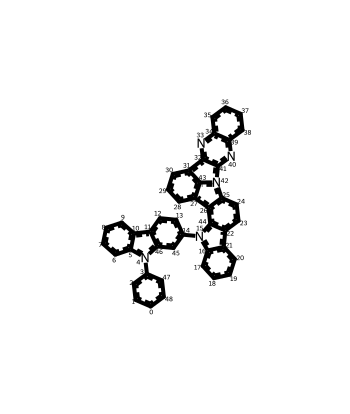 c1ccc(-n2c3ccccc3c3ccc(-n4c5ccccc5c5ccc6c(c7cccc8c9nc%10ccccc%10nc9n6c87)c54)cc32)cc1